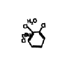 CCCCCl.Clc1ccccc1Cl.O